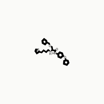 O=C(Nc1ccc(Oc2ccccc2)cc1)C(COCc1ccccc1)NCCCCc1cccs1